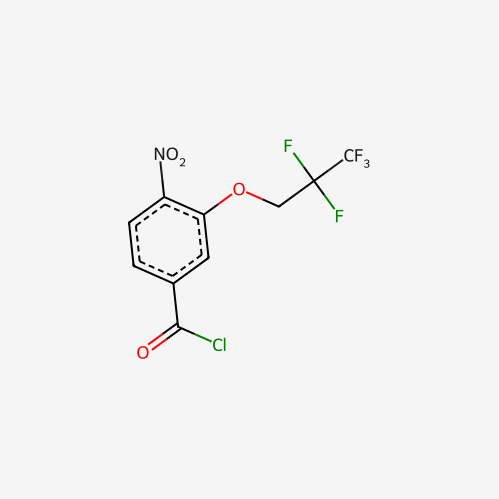 O=C(Cl)c1ccc([N+](=O)[O-])c(OCC(F)(F)C(F)(F)F)c1